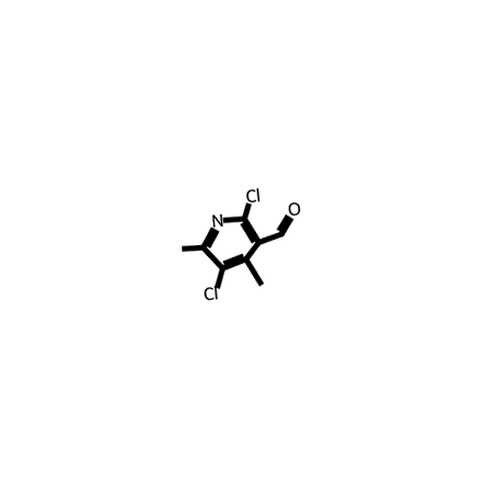 Cc1nc(Cl)c(C=O)c(C)c1Cl